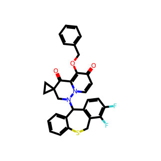 O=C1c2c(OCc3ccccc3)c(=O)ccn2N(C2c3ccccc3SCc3c2ccc(F)c3F)CC12CC2